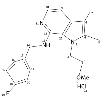 COCCn1c(C)c(C)c2ccnc(NCc3ccc(F)cc3)c21.Cl